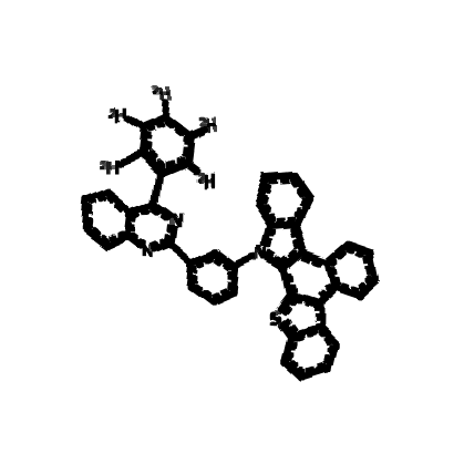 [2H]c1c([2H])c([2H])c(-c2nc(-c3cccc(-n4c5ccccc5c5c6ccccc6c6c7ccccc7sc6c54)c3)nc3ccccc23)c([2H])c1[2H]